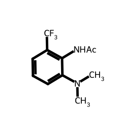 CC(=O)Nc1c(N(C)C)cccc1C(F)(F)F